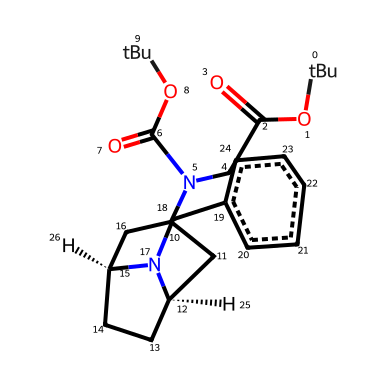 CC(C)(C)OC(=O)CN(C(=O)OC(C)(C)C)C1C[C@H]2CC[C@@H](C1)N2Cc1ccccc1